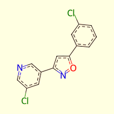 Clc1cncc(-c2cc(-c3cccc(Cl)c3)on2)c1